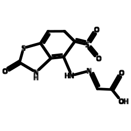 O=C(O)C=NNC1=c2[nH]c(=O)sc2=CCC1=S(=O)=O